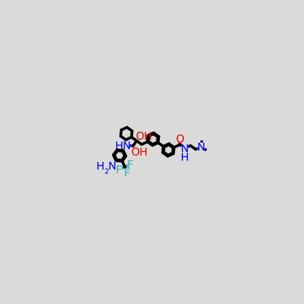 CN(C)CCNC(=O)c1cccc(-c2cccc(CC(O)(C3CCCCC3)C(O)Nc3ccc(N)c(C(F)(F)F)c3)c2)c1